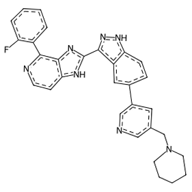 Fc1ccccc1-c1nccc2[nH]c(-c3n[nH]c4ccc(-c5cncc(CN6CCCCC6)c5)cc34)nc12